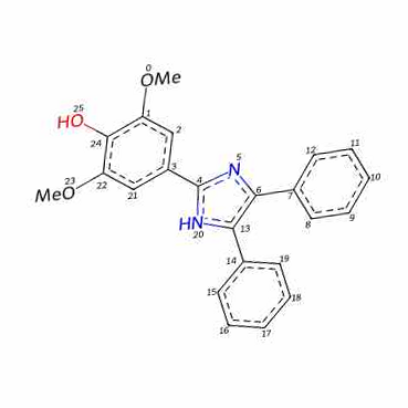 COc1cc(-c2nc(-c3ccccc3)c(-c3ccccc3)[nH]2)cc(OC)c1O